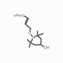 CCCCCC=CCON1C(C)(C)CC(O)CC1(C)C